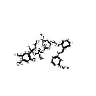 COc1cccc(CCc2ccccc2OC[C@H](CN(C)C)OCOP(=O)(O)OC(I)(CCCl)c2cc(Cl)c(Cl)cc2Cl)c1